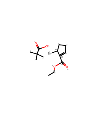 CC(C)(C)C(=O)[O-].CCOC(=O)C1=CCC[CH]1[Zn+]